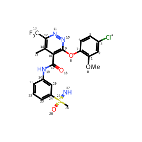 COc1cc(Cl)ccc1Oc1nnc(C(F)(F)F)c(C)c1C(=O)Nc1cccc(S(C)(=N)=O)c1